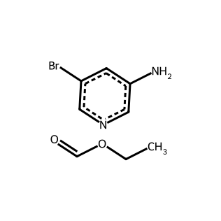 CCOC=O.Nc1cncc(Br)c1